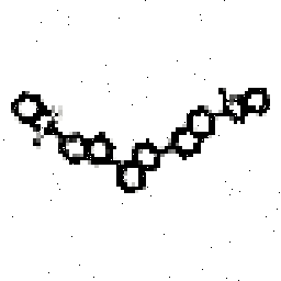 Cn1c(-c2ccc3cc(-c4ccc5c(-c6ccc7cc(-c8nc9ccccc9n8C)ccc7c6)cccc5c4)ccc3c2)nc2ccccc21